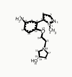 Cn1nccc1-c1cc(N)ccc1OCCN1CC[C@H](O)C1